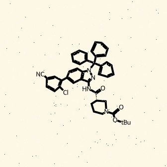 CC(C)(C)OC(=O)N1CCC[C@H](C(=O)Nc2nn(C(c3ccccc3)(c3ccccc3)c3ccccc3)c3ccc(-c4cc(C#N)ccc4Cl)cc23)C1